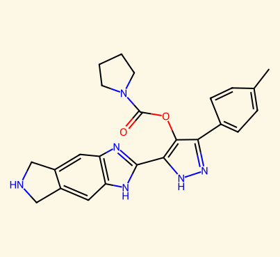 Cc1ccc(-c2n[nH]c(-c3nc4cc5c(cc4[nH]3)CNC5)c2OC(=O)N2CCCC2)cc1